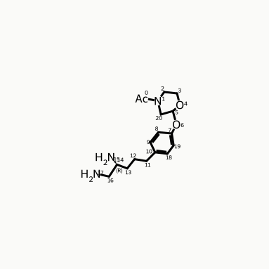 CC(=O)N1CCOC(Oc2ccc(CCC[C@@H](N)CN)cc2)C1